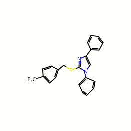 FC(F)(F)c1ccc(CSc2nc(-c3ccccc3)cn2-c2ccccc2)cc1